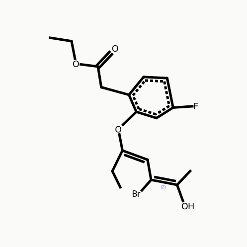 CCOC(=O)Cc1ccc(F)cc1OC(=C/C(Br)=C(\C)O)CC